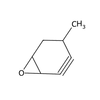 CC1C#CC2OC2C1